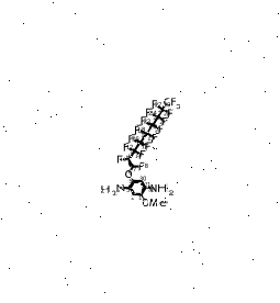 COc1cc(N)c(OC(F)=C(F)C(F)(F)C(F)(F)C(F)(F)C(F)(F)C(F)(F)C(F)(F)C(F)(F)F)cc1N